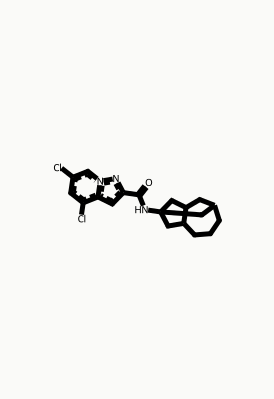 O=C(NC12CC3CCCC(C1)C(C3)C2)c1cc2c(Cl)cc(Cl)cn2n1